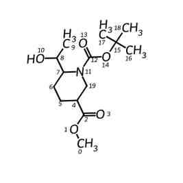 COC(=O)C1CCC(C(C)O)N(C(=O)OC(C)(C)C)C1